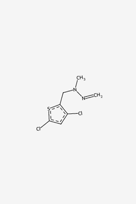 C=NN(C)Cc1sc(Cl)cc1Cl